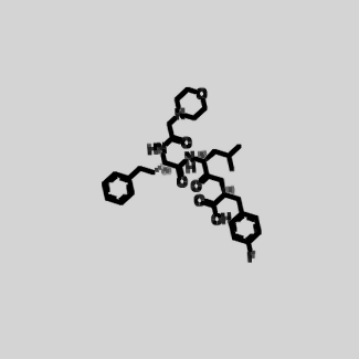 CC(C)C[C@H](NC(=O)[C@H](CCc1ccccc1)NC(=O)CN1CCOCC1)C(=O)C[C@@H](Cc1ccc(F)cc1)C(=O)O